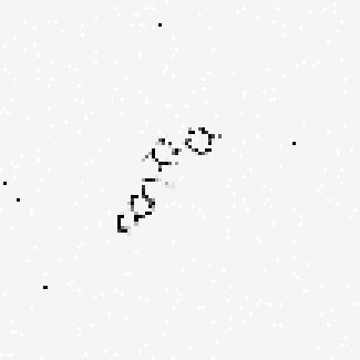 COc1ccc(-c2cnc(N)c(N(N)Cc3ccc4nccn4c3)n2)cc1